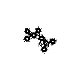 N#Cc1cc(-n2c3ccccc3c3cc(N(c4ccccc4)c4ccccc4)ccc32)ccc1-c1cc(-c2ccccc2)nc(-c2ccccc2)n1